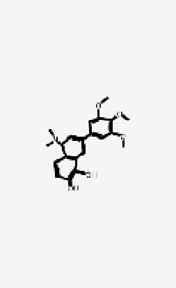 COc1cc(C2=CC(N(C)C)c3ccc(O)c(O)c3C2)cc(OC)c1OC